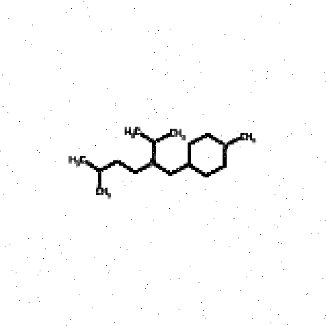 CC(C)CCN(CC1CCN(C)CC1)C(C)C